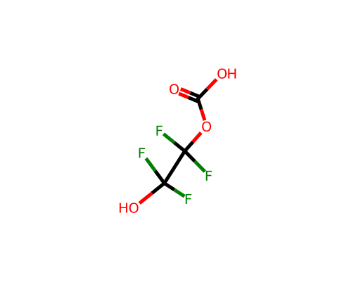 O=C(O)OC(F)(F)C(O)(F)F